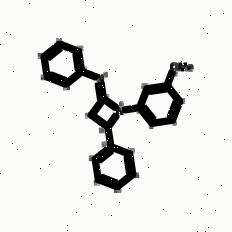 COc1cccc(N2/C(=N/c3ccccc3)CC2c2ccccc2)c1